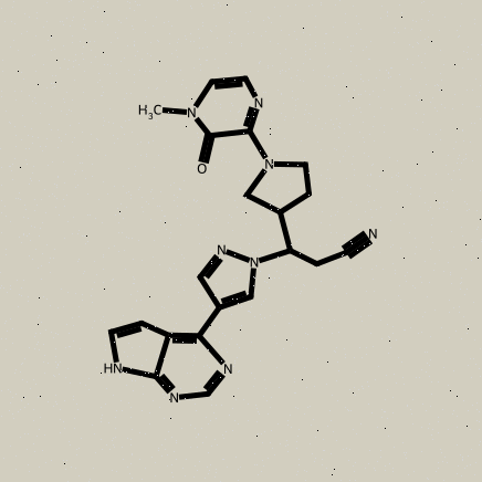 Cn1ccnc(N2CCC(C(CC#N)n3cc(-c4ncnc5[nH]ccc45)cn3)C2)c1=O